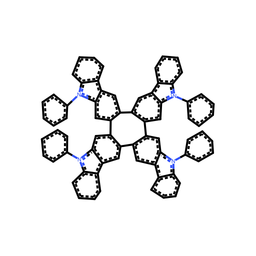 c1ccc(-n2c3ccccc3c3cc4c(cc32)-c2cc3c(cc2-c2cc5c6ccccc6n(-c6ccccc6)c5cc2-c2cc5c(cc2-4)c2ccccc2n5-c2ccccc2)c2ccccc2n3-c2ccccc2)cc1